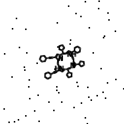 C(#CC1CCCCC1)C1=Cc2nc1cc1[nH]c(cc1C#CC1CCCCC1)c(C1CCCC1)c1nc(cc3[nH]c(cc3C3CCCCC3)c2C2CCCC2)C(C2CCCC2)=C1